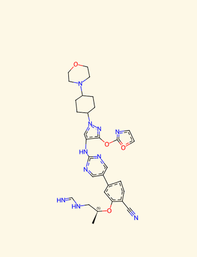 C[C@@H](CNC=N)Oc1cc(-c2cnc(Nc3cn(C4CCC(N5CCOCC5)CC4)nc3Oc3ncco3)nc2)ccc1C#N